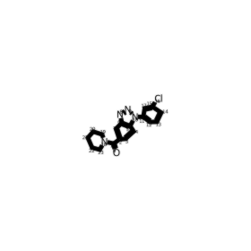 O=C(c1ccc2c(c1)nnn2-c1cccc(Cl)c1)N1CCCCC1